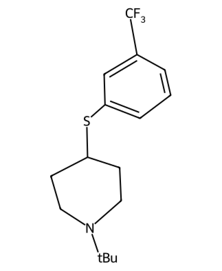 CC(C)(C)N1CCC(Sc2cccc(C(F)(F)F)c2)CC1